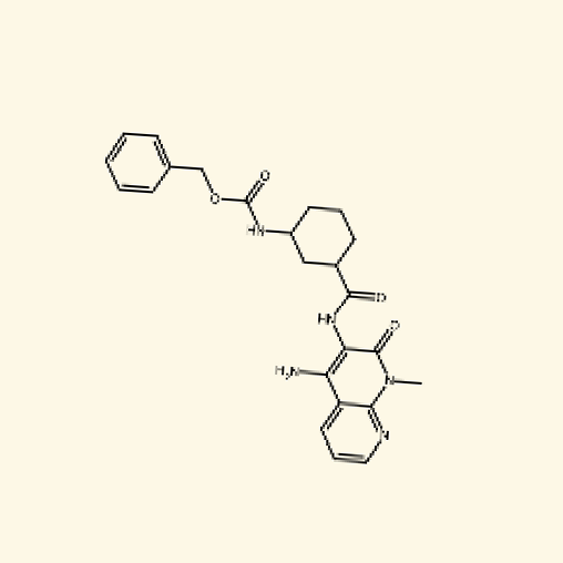 Cn1c(=O)c(NC(=O)C2CCCC(NC(=O)OCc3ccccc3)C2)c(N)c2cccnc21